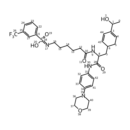 CC(O)C1=CCC(CC(NC(=O)CCCCCN=S(=O)(O)c2cccc(C(F)(F)F)c2)C(=O)Nc2ccc(N3CCOCC3)cc2)C=C1